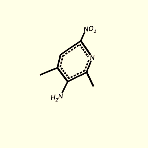 Cc1cc([N+](=O)[O-])nc(C)c1N